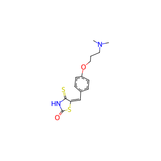 CN(C)CCCOc1ccc(C=C2SC(=O)NC2=S)cc1